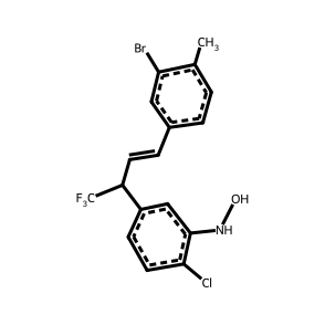 Cc1ccc(/C=C/C(c2ccc(Cl)c(NO)c2)C(F)(F)F)cc1Br